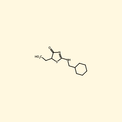 O=C(O)CC1SC(NCC2CCCCC2)=NC1=O